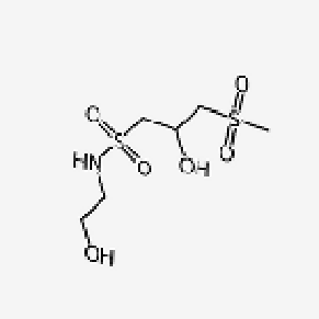 CS(=O)(=O)CC(O)CS(=O)(=O)NCCO